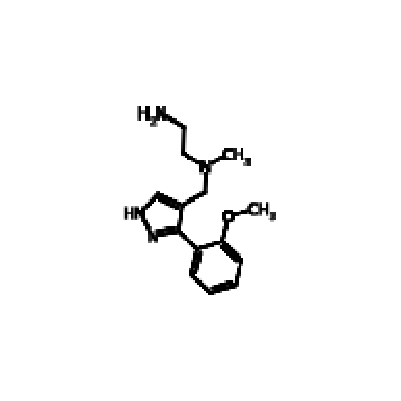 COc1ccccc1-c1n[nH]cc1CN(C)CCN